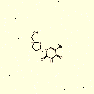 O=c1[nH]c(=O)n([C@@H]2CC[C@@H](CO)O2)cc1Br